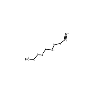 N#CCCOCOCCO